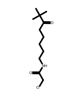 CC(C)(C)C(=O)CCCCCNC(=O)CCl